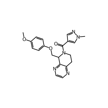 COc1ccc(OCC2c3nccnc3CCN2C(=O)c2cnn(C)c2)cc1